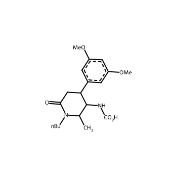 CCCCN1C(=O)CC(c2cc(OC)cc(OC)c2)C(NC(=O)O)C1C